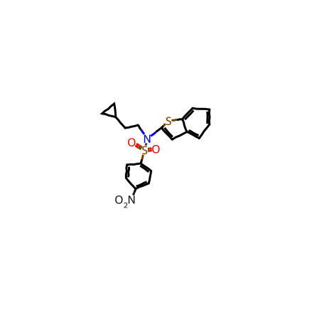 O=[N+]([O-])c1ccc(S(=O)(=O)N(CCC2CC2)c2cc3ccccc3s2)cc1